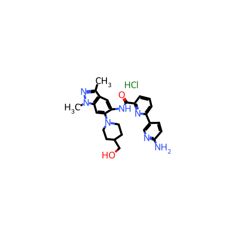 Cc1nn(C)c2cc(N3CCC(CO)CC3)c(NC(=O)c3cccc(-c4ccc(N)nc4)n3)cc12.Cl